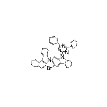 Brc1cc2c3ccccc3n(-c3nc(-c4ccccc4)nc(-c4ccccc4)n3)c2cc1-n1c2ccccc2c2c3ccccc3ccc21